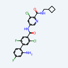 Nc1cc(F)ccc1-c1cc(Cl)c(C(=O)Nc2cnc(C(=O)NCC3CCC3)c(Cl)c2)cc1F